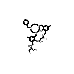 Cc1cc(CNC(O)CO)c(O)c(CN2CCCN(Cc3ccccc3)CCN(Cc3cc(C)cc(CNC(O)CO)c3O)CC2)c1